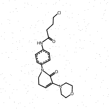 O=C(CCCCl)Nc1ccc(N2CCC=C(N3CCOCC3)C2=O)cc1